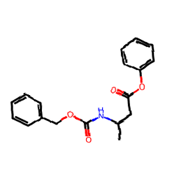 CC(CC(=O)Oc1ccccc1)NC(=O)OCc1ccccc1